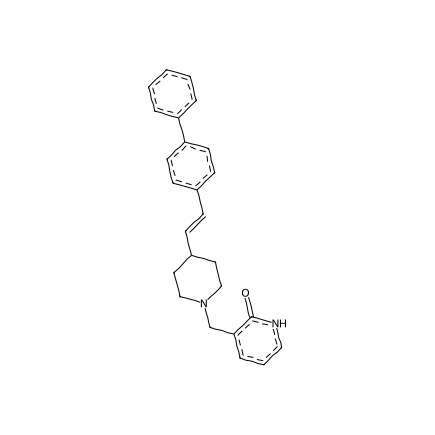 O=c1[nH]cccc1CN1CCC(C=Cc2ccc(-c3ccccc3)cc2)CC1